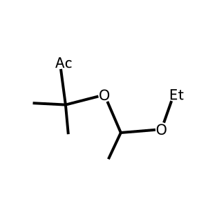 CCOC(C)OC(C)(C)C(C)=O